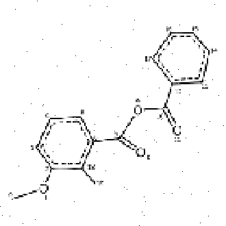 COc1cccc(C(=O)OC(=O)c2ccccc2)c1C